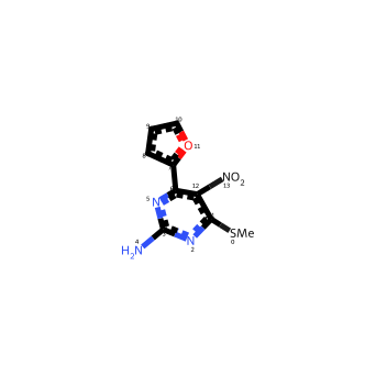 CSc1nc(N)nc(-c2ccco2)c1[N+](=O)[O-]